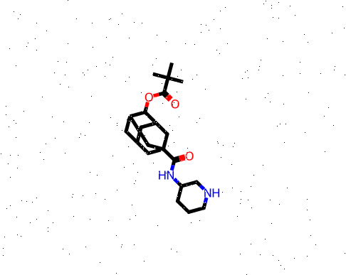 CC(C)(C)C(=O)OC1C2CC3CC1CC(C(=O)NC1CCCNC1)(C3)C2